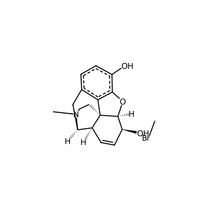 CBr.CN1CC[C@]23c4c5ccc(O)c4O[C@H]2[C@@H](O)C=C[C@H]3[C@H]1C5